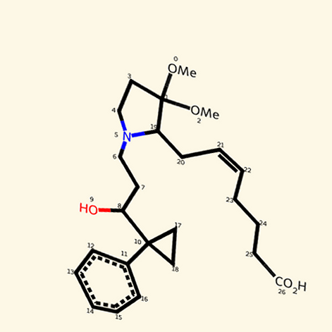 COC1(OC)CCN(CCC(O)C2(c3ccccc3)CC2)C1C/C=C\CCCC(=O)O